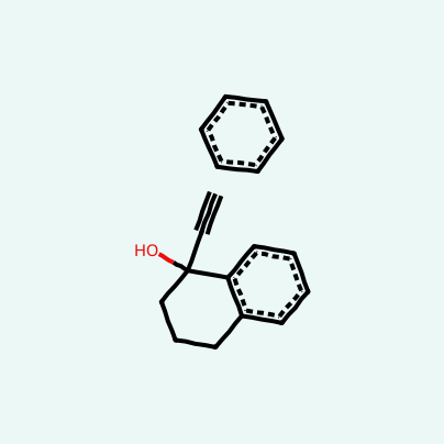 C#CC1(O)CCCc2ccccc21.c1ccccc1